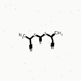 CC(C#N)SC(=S)SC(C)C#N